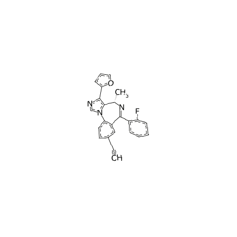 C#Cc1ccc2c(c1)C(c1ccccc1F)=N[C@@H](C)c1c(-c3ccco3)ncn1-2